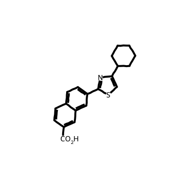 O=C(O)c1ccc2ccc(-c3nc(C4CCCCC4)cs3)cc2c1